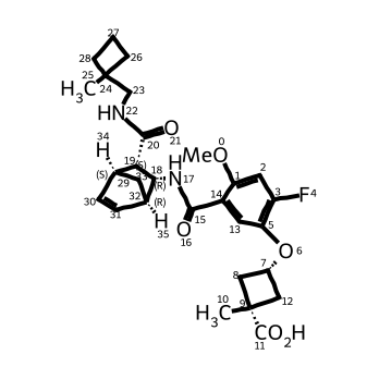 COc1cc(F)c(O[C@H]2C[C@@](C)(C(=O)O)C2)cc1C(=O)N[C@H]1[C@@H](C(=O)NCC2(C)CCC2)[C@@H]2C=C[C@H]1C2